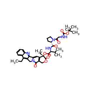 CCc1c2c(nc3ccccc13)-c1cc3c(c(=O)n1C2)COC(=O)[C@@]3(CC)OC(=O)[C@@H](NC(=O)[C@@H]1CCCN1C(=O)CNC(=O)OC(C)(C)C)C(C)C